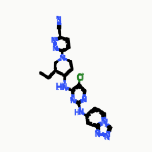 CCC1CN(c2ccc(C#N)nn2)CCC1Nc1nc(Nc2ccn3cnnc3c2)ncc1Cl